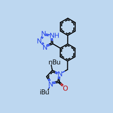 CCCCc1cn(C(C)CC)c(=O)n1Cc1ccc(-c2ccccc2)c(-c2nnn[nH]2)c1